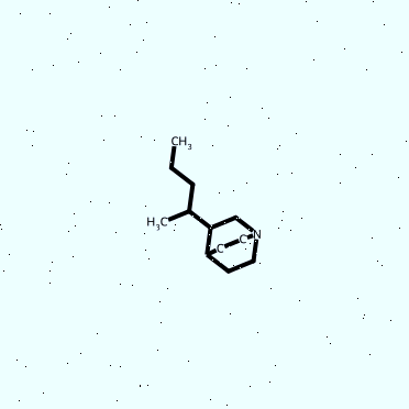 CCCC(C)C1CN2CCC1CC2